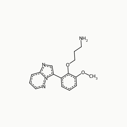 COc1cccc(-c2cnc3cccnn23)c1OCCCN